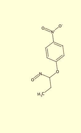 CCC(N=O)Oc1ccc([N+](=O)[O-])cc1